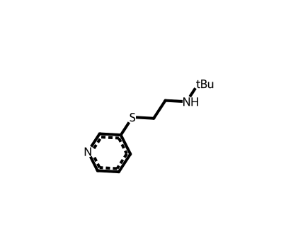 CC(C)(C)NCCSc1cccnc1